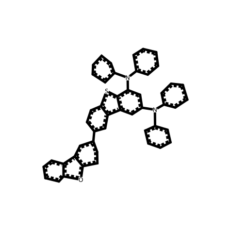 c1ccc(N(c2ccccc2)c2cc(N(c3ccccc3)c3ccccc3)c3sc4ccc(-c5ccc6oc7ccccc7c6c5)cc4c3c2)cc1